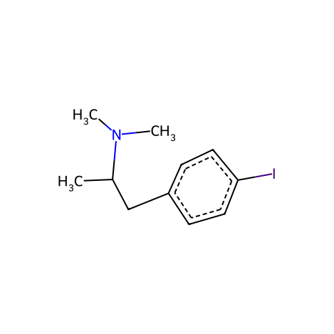 CC(Cc1ccc(I)cc1)N(C)C